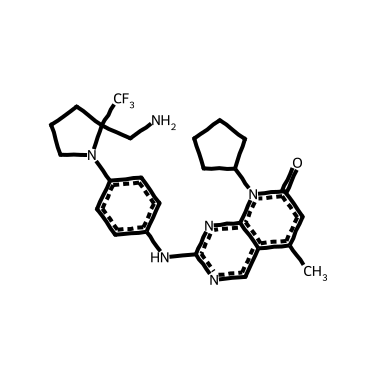 Cc1cc(=O)n(C2CCCC2)c2nc(Nc3ccc(N4CCCC4(CN)C(F)(F)F)cc3)ncc12